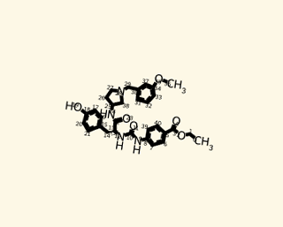 CCOC(=O)c1ccc(NC(=O)N[C@@H](Cc2ccc(O)cc2)C(=O)NC2CCN(Cc3cccc(OC)c3)C2)cc1